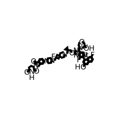 CCc1c(F)ccc2cc(O)cc(-c3ncc4c(N5CCOC[C@@](C)(O)C5)nc(OCC5(CN6CCC7(CC6)CC(F)(CN6CCN(c8ccc9c(c8)CN([C@H]8CCC(=O)NC8=O)C9=O)CC6)C7)CC5)nc4c3F)c12